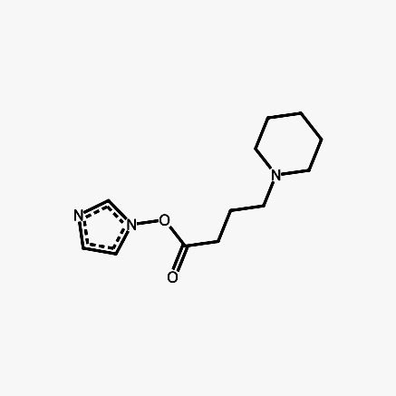 O=C(CCCN1CCCCC1)On1ccnc1